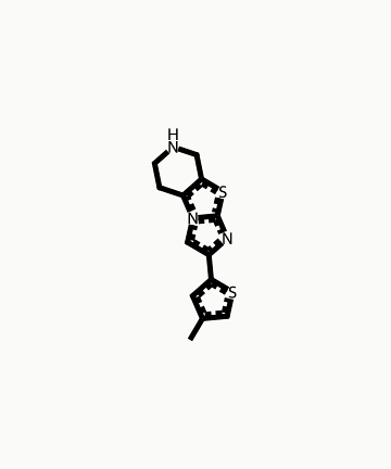 Cc1csc(-c2cn3c4c(sc3n2)CNCC4)c1